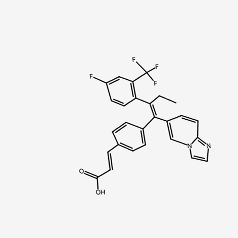 CC/C(=C(/c1ccc(/C=C/C(=O)O)cc1)c1ccc2nccn2c1)c1ccc(F)cc1C(F)(F)F